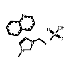 CCN1C=CN(C)C1.CS(=O)(=O)O.c1ccc2ncccc2c1